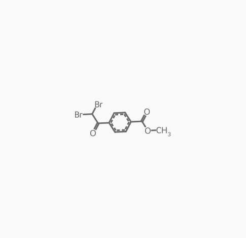 COC(=O)c1ccc(C(=O)C(Br)Br)cc1